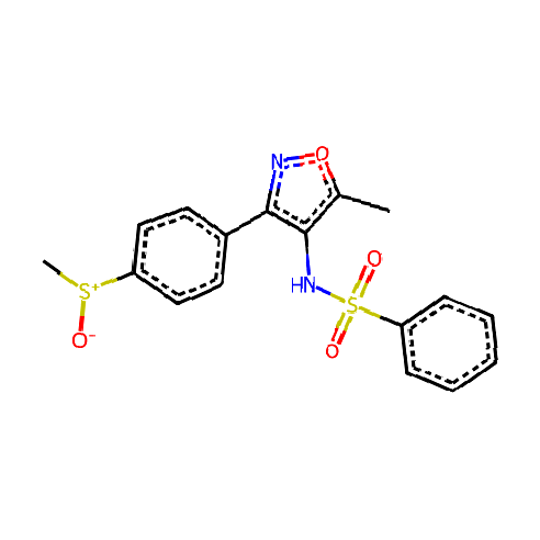 Cc1onc(-c2ccc([S+](C)[O-])cc2)c1NS(=O)(=O)c1ccccc1